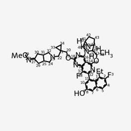 CCc1c(F)ccc2cc(O)cc(-c3nc4c5c(nc(OCC6(CN7CC8CC(=NOC)CC8C7)CC6)nc5c3F)N3C[C@H]5CC[C@H](N5)[C@H]3[C@H](C)O4)c12